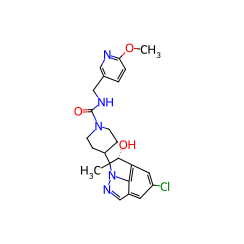 COc1ccc(CNC(=O)N2CCC(C3(C)[C@H](O)c4cc(Cl)cc5cnn3c45)CC2)cn1